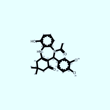 CC(=O)N1c2cccc(O)c2NC2=C(C(=O)CC(C)(C)C2)C1c1ccc(Cl)c(Cl)c1